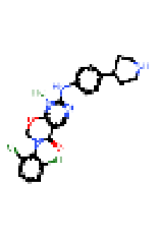 Cl.O=C1c2cnc(Nc3ccc(C4CCNCC4)cc3)nc2OCN1c1c(Cl)cccc1Cl